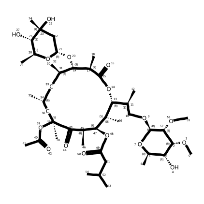 CO[C@@H]1[C@H](O)[C@@H](C)O[C@@H](OC[C@H](C)[C@H]2OC(=O)[C@H](C)[C@@H](O[C@H]3C[C@@](C)(O)[C@@H](O)[C@H](C)O3)[C@H](C)C[C@@H](C)C[C@](C)(OC(C)=O)C(=O)[C@H](C)[C@H](OC(=O)CC(C)C)[C@H]2C)[C@@H]1OC